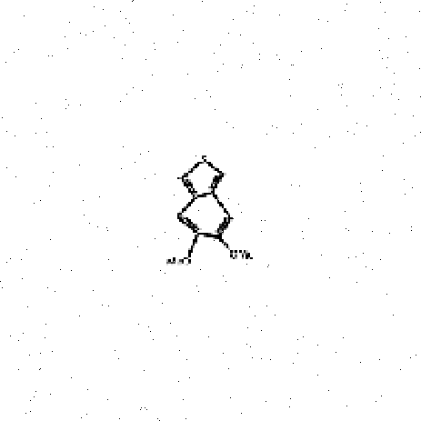 COc1cc2[c]s[c]c2cc1OC